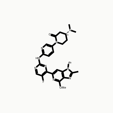 COc1nc(-c2nc(Nc3ccc(N4CC[C@@H](N(C)C)CC4=O)cn3)ncc2F)cc2c1nc(C)n2C(C)C